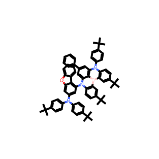 CC(C)(C)c1ccc(N(c2ccc(C(C)(C)C)cc2)c2cc(N3c4ccc(C(C)(C)C)cc4B4c5cc(C(C)(C)C)ccc5N(c5ccc(C(C)(C)C)cc5)c5cc(-c6ccccc6)cc3c54)c3c(c2)oc2ccccc23)cc1